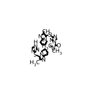 Cc1nc2ccccn2c1Sc1nc[nH]n1.Cc1nc2ccccn2c1Sc1ncn(C(=O)N(C)C)n1